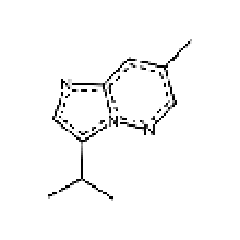 Cc1cnn2c(C(C)C)cnc2c1